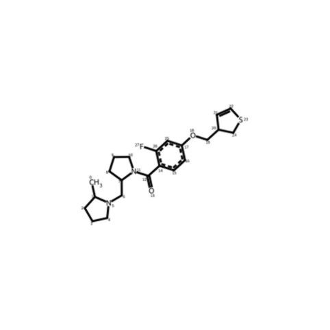 CC1CCCN1CC1CCCN1C(=O)c1ccc(OCC2C=CSC2)cc1F